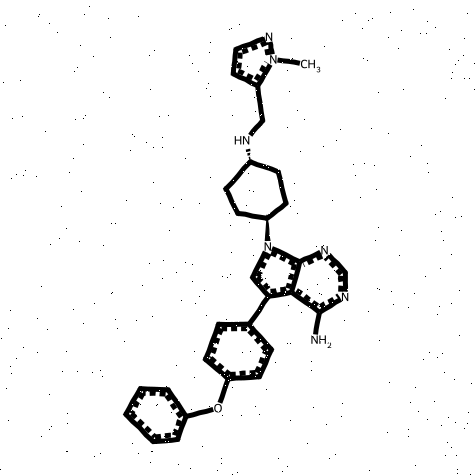 Cn1nccc1CN[C@H]1CC[C@H](n2cc(-c3ccc(Oc4ccccc4)cc3)c3c(N)ncnc32)CC1